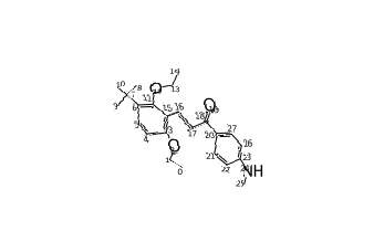 CCOc1ccc(C(C)(C)C)c(OCC)c1C=CC(=O)c1ccc(NC)cc1